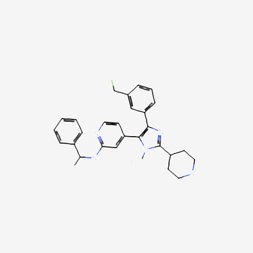 CC(Nc1cc(-c2c(-c3cccc(CF)c3)nc(C3CCNCC3)n2C)ccn1)c1ccccc1